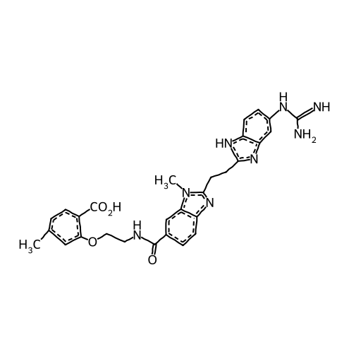 Cc1ccc(C(=O)O)c(OCCNC(=O)c2ccc3nc(CCc4nc5cc(NC(=N)N)ccc5[nH]4)n(C)c3c2)c1